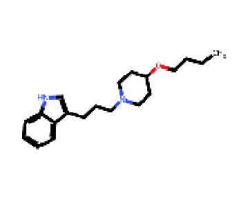 CCCCOC1CCN(CCCc2c[nH]c3ccccc23)CC1